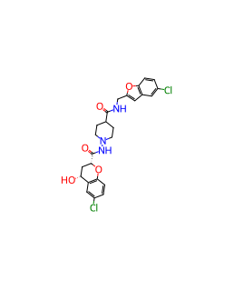 O=C(NCc1cc2cc(Cl)ccc2o1)C1CCN(NC(=O)[C@H]2C[C@@H](O)c3cc(Cl)ccc3O2)CC1